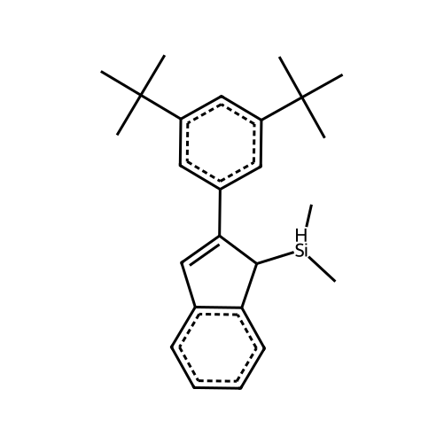 C[SiH](C)C1C(c2cc(C(C)(C)C)cc(C(C)(C)C)c2)=Cc2ccccc21